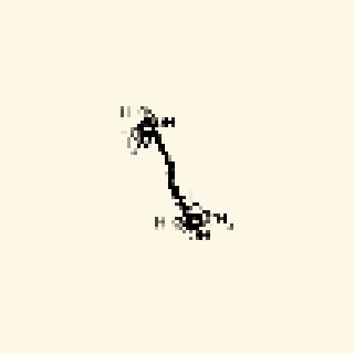 COc1cc(O)c(OC)c(CCCCCCCC#CCCCCCCCc2c(O)c(OC)cc(O)c2OC)c1O